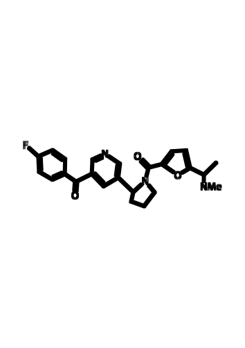 CNC(C)c1ccc(C(=O)N2CCCC2c2cncc(C(=O)c3ccc(F)cc3)c2)o1